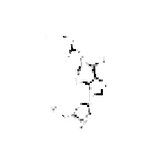 CCCOC(=O)B[n+]1cnc2c(ncn2[C@H]2C[C@H](O)[C@@H](CO)O2)c1N